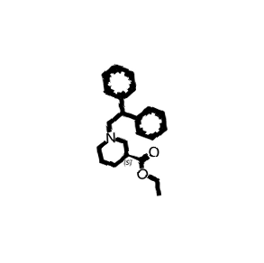 CCOC(=O)[C@H]1CCCN(CC(c2ccccc2)c2ccccc2)C1